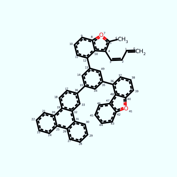 C=C/C=C\c1c(C)oc2cccc(-c3cc(-c4ccc5c6ccccc6c6ccccc6c5c4)cc(-c4cccc5oc6ccccc6c45)c3)c12